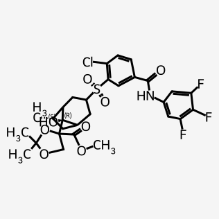 COC(=O)C1([C@@]2(O)C3CC(S(=O)(=O)c4cc(C(=O)Nc5cc(F)c(F)c(F)c5)ccc4Cl)CC2[C@@H](C)C3)COC(C)(C)O1